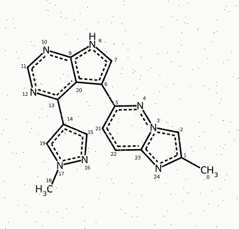 Cc1cn2nc(-c3c[nH]c4ncnc(-c5cnn(C)c5)c34)ccc2n1